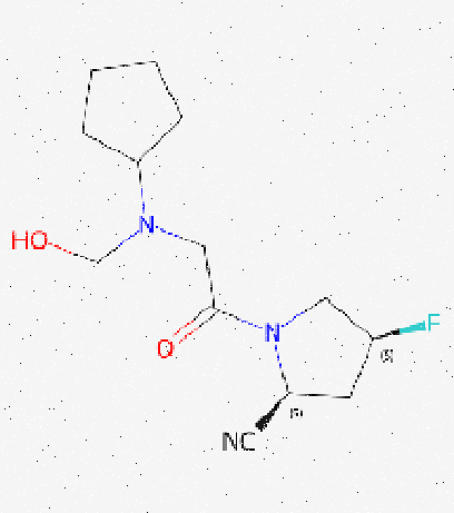 N#C[C@@H]1C[C@H](F)CN1C(=O)CN(CO)C1CCCC1